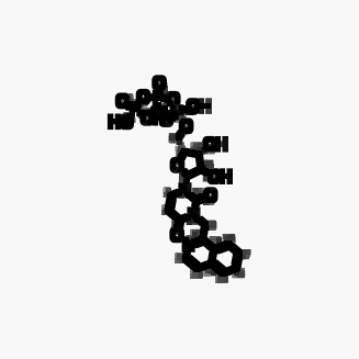 O=c1ccn([C@@H]2O[C@H](COP(=O)(O)OP(=O)(O)OP(=O)(O)O)[C@H](O)C2O)c(=O)n1Cc1nccc2ccccc12